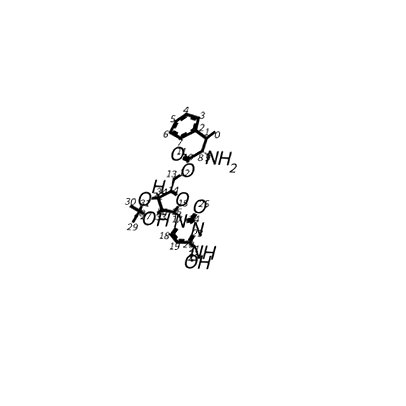 CC(c1ccccc1)[C@H](N)C(=O)OC[C@H]1O[C@@H](n2ccc(NO)nc2=O)[C@@H]2OC(C)(C)O[C@@H]21